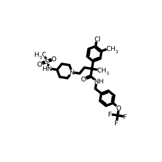 Cc1cc(C(C)(CCN2CCC(NS(C)(=O)=O)CC2)C(=O)NCc2ccc(OC(F)(F)F)cc2)ccc1Cl